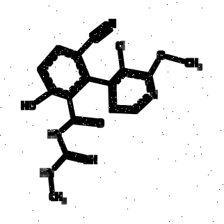 CNC(=N)NC(=O)c1c(O)ccc(C#N)c1-c1ccnc(OC)c1Cl